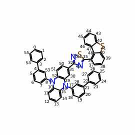 c1ccc(-c2cccc(N3c4ccccc4N(c4cccc(-c5ccccc5)c4)c4cc(-c5nsc(-c6cccc7sc8ccccc8c67)n5)ccc43)c2)cc1